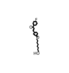 O=C(C=Cc1ccc(OCCCCCCCCO)cc1)c1ccc(F)cc1